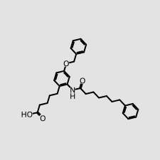 O=C(O)CCCCc1ccc(OCc2ccccc2)cc1NC(=O)CCCCCCc1ccccc1